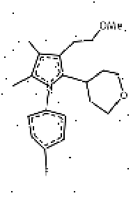 COCCc1c(C)c(C)n(-c2ccc(F)cc2)c1C1CCOCC1